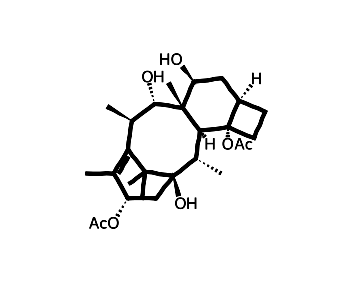 CC(=O)O[C@H]1C[C@@]2(O)[C@@H](C)[C@@H]3[C@]4(OC(C)=O)CC[C@@H]4C[C@H](O)[C@@]3(C)[C@@H](O)[C@H](C)C(=C1C)C2(C)C